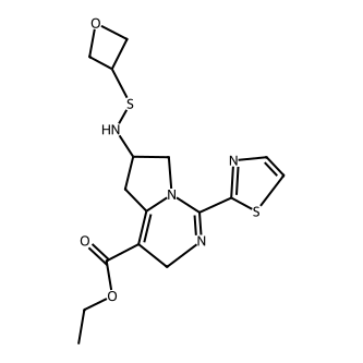 CCOC(=O)C1=C2CC(NSC3COC3)CN2C(c2nccs2)=NC1